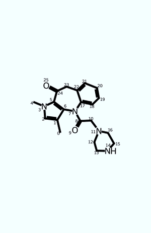 Cc1cn(C)c2c1N(C(=O)CN1CCNCC1)c1ccccc1CC2=O